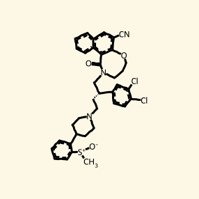 C[S+]([O-])c1ccccc1C1CCN(CC[C@H](CN2CCCOc3c(C#N)cc4ccccc4c3C2=O)c2ccc(Cl)c(Cl)c2)CC1